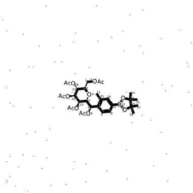 CC(=O)OC[C@H]1O[C@H]([C@H](OC(C)=O)c2ccc(B3OC(C)(C)C(C)(C)O3)cc2C)[C@@H](OC(C)=O)[C@@H](OC(C)=O)[C@@H]1OC(C)=O